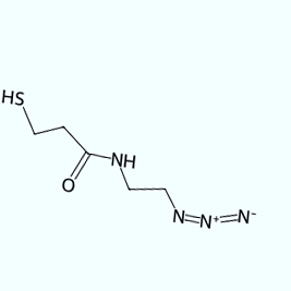 [N-]=[N+]=NCCNC(=O)CCS